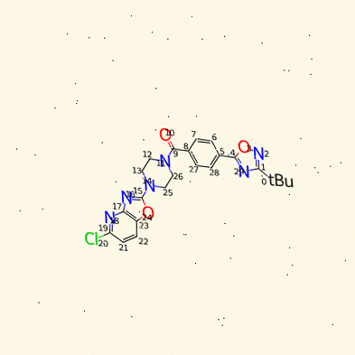 CC(C)(C)c1noc(-c2ccc(C(=O)N3CCN(c4nc5nc(Cl)ccc5o4)CC3)cc2)n1